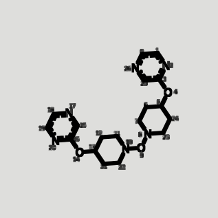 c1cnc(OC2CCN(ON3CCC(Oc4cnccn4)CC3)CC2)cn1